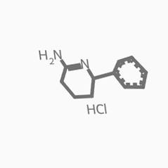 Cl.NC1=NC(c2ccccc2)CCC1